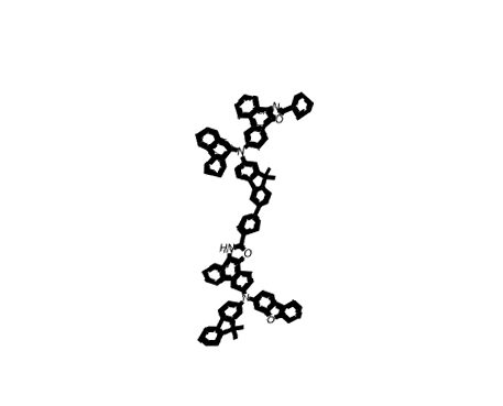 CC1(C)c2ccccc2-c2ccc(N(c3ccc4c(c3)oc3ccccc34)c3ccc4c5c(c6ccccc6c4c3)NC(c3ccc(-c4ccc6c(c4)-c4ccc(N(c7ccc8c(c7)c7ccccc7c7nc(-c9ccccc9)oc87)c7cc8ccccc8c8ccccc78)cc4C6(C)C)cc3)O5)cc21